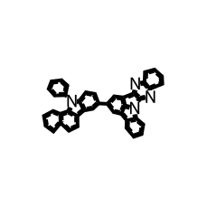 c1ccc(-n2c3ccc(-c4cc5c6ccccc6n6c7nc8ccccc8nc7c(c4)c56)cc3c3ccc4ccccc4c32)cc1